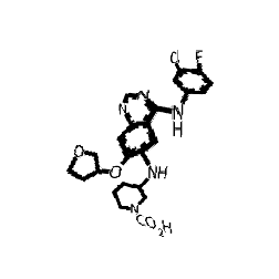 O=C(O)N1CCCC(Nc2cc3c(Nc4ccc(F)c(Cl)c4)ncnc3cc2OC2CCOC2)C1